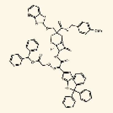 COc1ccc(COC(=O)C2(CSc3nc4ncccc4s3)CS[C@@H]3C(NC(=O)C(=NOCC(=O)OC(c4ccccc4)c4ccccc4)c4csc(NC(c5ccccc5)(c5ccccc5)c5ccccc5)n4)C(=O)N3C2)cc1